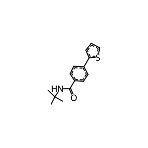 CC(C)(C)NC(=O)c1ccc(-c2cccs2)cc1